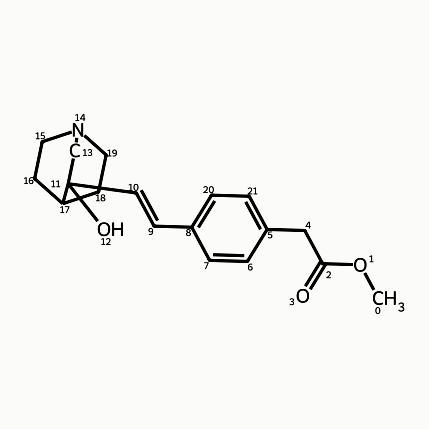 COC(=O)Cc1ccc(C=CC2(O)CN3CCC2CC3)cc1